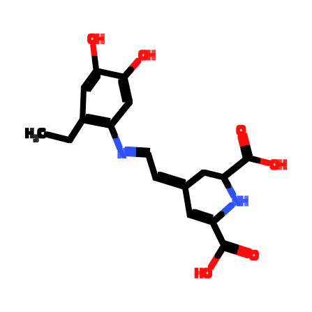 CCc1cc(O)c(O)cc1/N=C/C=C1/C=C(C(=O)O)NC(C(=O)O)C1